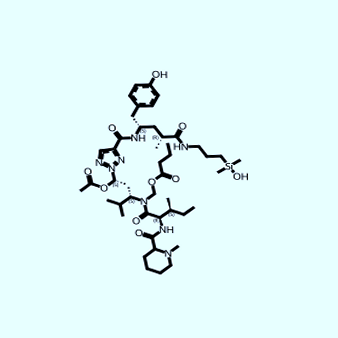 CCCC(=O)OCN(C(=O)[C@H](NC(=O)C1CCCCN1C)[C@@H](C)CC)[C@@H](C[C@H](OC(C)=O)n1ncc(C(=O)N[C@H](Cc2ccc(O)cc2)C[C@@H](C)C(=O)NCCC[Si](C)(C)O)n1)C(C)C